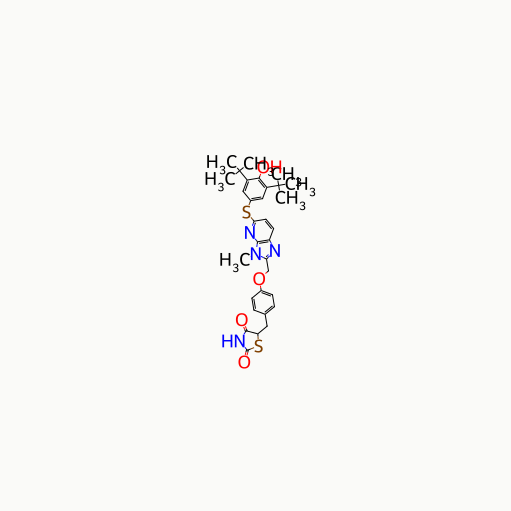 Cn1c(COc2ccc(CC3SC(=O)NC3=O)cc2)nc2ccc(Sc3cc(C(C)(C)C)c(O)c(C(C)(C)C)c3)nc21